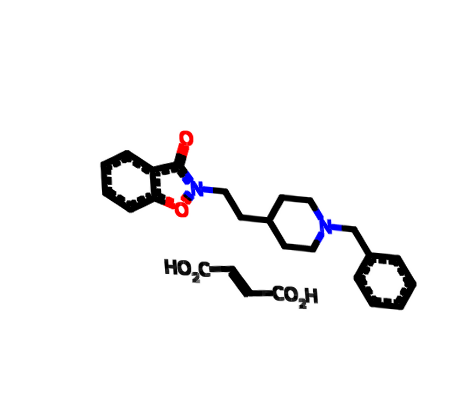 O=C(O)C=CC(=O)O.O=c1c2ccccc2on1CCC1CCN(Cc2ccccc2)CC1